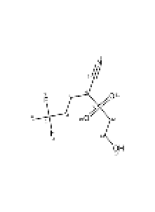 CC(F)(F)CCC(C#N)S(=O)(=O)CCO